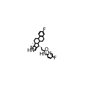 C[C@]12CCC3c4ccc(F)cc4CCC3C1[C@H](CCC(=O)Nc1ccc(F)cn1)c1c[nH]nc12